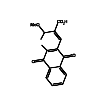 COC(C)/C(=C\C1=C(C)C(=O)c2ccccc2C1=O)C(=O)O